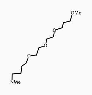 CNCCCCOCCOCCOCCCOC